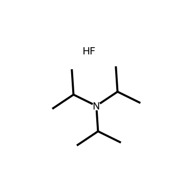 CC(C)N(C(C)C)C(C)C.F